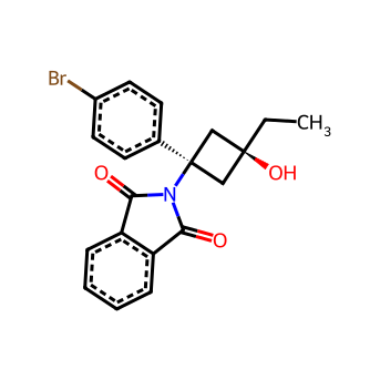 CC[C@]1(O)C[C@@](c2ccc(Br)cc2)(N2C(=O)c3ccccc3C2=O)C1